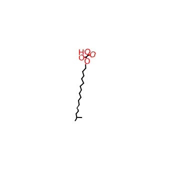 CC(C)CCCCCCCCCCCCCCCOC(=O)C(=O)O